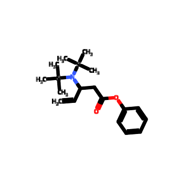 C=CC(CC(=O)Oc1ccccc1)N([Si](C)(C)C)[Si](C)(C)C